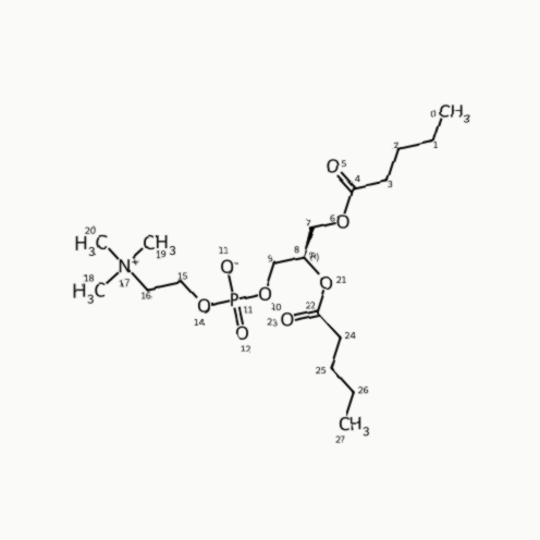 CCCCC(=O)OC[C@H](COP(=O)([O-])OCC[N+](C)(C)C)OC(=O)CCCC